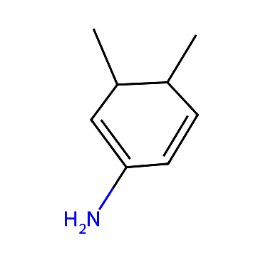 CC1C=CC(N)=CC1C